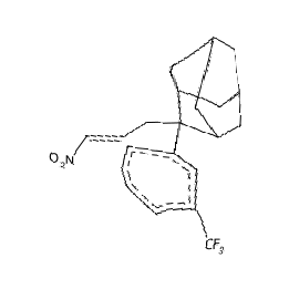 O=[N+]([O-])C=CCC1(c2cccc(C(F)(F)F)c2)C2CC3CC(C2)CC1C3